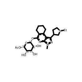 CCN1CCC(c2nn(C)c3nc(O[C@H]4O[C@@H](OC(C)=O)[C@@H](O)[C@@H](O)[C@H]4O)c4c(c23)CCCC4)C1